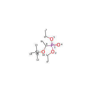 CCOP(=O)(OCC)C(C)O[Si](C)(C)C